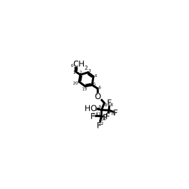 C=Cc1ccc(COCC(O)(C(F)(F)F)C(F)(F)F)cc1